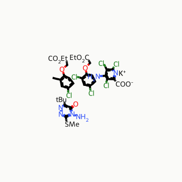 CCOC(=O)COc1ccc(Cl)cc1C.CCOC(=O)COc1ccc(Cl)cc1Cl.CSc1nnc(C(C)(C)C)c(=O)n1N.Nc1c(Cl)c(Cl)nc(C(=O)[O-])c1Cl.[K+]